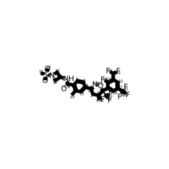 C=C1CC(c2ccc(C(=O)NC3CN(S(C)(=O)=O)C3)c(C)c2)=NO[C@@]1(c1cc(C(F)(F)F)cc(C(F)F)c1F)C(F)(F)F